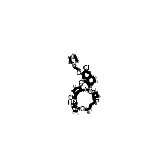 CC[C@@H]1C[C@@H](C)/C=C/C[C@H]2CC[C@H]2CN2C[C@@]3(CCCc4cc(Cl)c(OCCN5CCOCC5)cc43)COc3ccc(cc32)C(=O)NS1(=O)=O